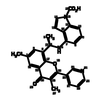 Cc1cc([C@@H](C)Nc2cccc3c2ccn3C(=O)O)c2oc(-c3cccnc3)c(C)c(=O)c2c1